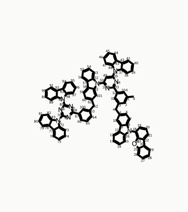 Cc1cc(Cc2ccc3c(c2)c2ccccc2n3-c2cccc3c2oc2ccccc23)cc(-c2nc(-n3c4ccccc4c4ccccc43)cc(-n3c4ccccc4c4ccc(Cc5cccc(-c6nc(-n7c8ccccc8c8ccccc87)nc(-n7c8ccccc8c8ccccc87)n6)c5)cc43)n2)c1